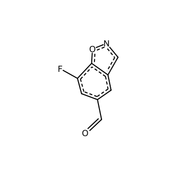 O=Cc1cc(F)c2oncc2c1